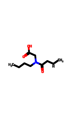 CBCC(=O)N(CCCC)CC(=O)O